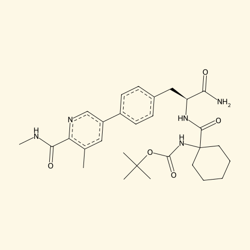 CNC(=O)c1ncc(-c2ccc(C[C@H](NC(=O)C3(NC(=O)OC(C)(C)C)CCCCC3)C(N)=O)cc2)cc1C